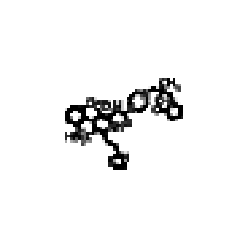 CC(C)(CN1CCN(C(=O)CC2=C(C(=O)O)C(c3c(Cl)cccc3Cl)C(C(=O)O)=C(CCc3nccs3)N2)CC1)CN1CCCC1=O